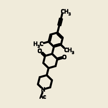 CC#Cc1cc(C)c(C2C(=O)CC(C3CCN(C(C)=O)CC3)CC2=O)c(C)c1